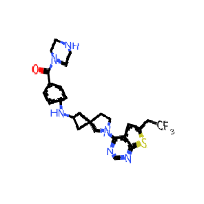 O=C(c1ccc(NC2CC3(CCN(c4ncnc5sc(CC(F)(F)F)cc45)C3)C2)cc1)N1CCNCC1